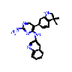 CC1(C)CNc2cc(-c3cnc(N)nc3Nc3cnc4ccccc4c3)ccc21